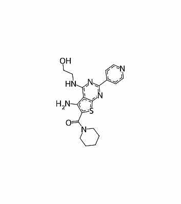 Nc1c(C(=O)N2CCCCC2)sc2nc(-c3ccncc3)nc(NCCO)c12